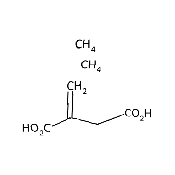 C.C.C=C(CC(=O)O)C(=O)O